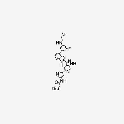 CN(C)CCNc1cc(F)cc(-c2ccnc3[nH]c(-c4n[nH]c5cnc(-c6cncc(NC(=O)CC(C)(C)C)c6)cc45)nc23)c1